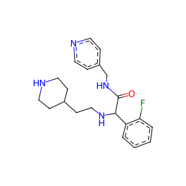 O=C(NCc1ccncc1)C(NCCC1CCNCC1)c1ccccc1F